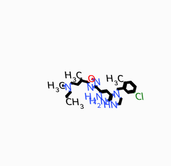 CCCN(C)CCC(C)c1nc(/C(N)=C/C2=C(N)NCCN2Cc2cc(Cl)ccc2C)no1